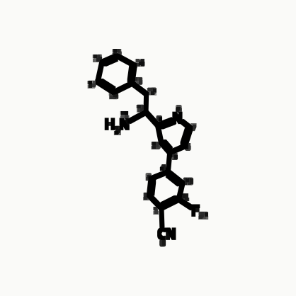 N#Cc1ccc(-c2ccnc(C(N)Cc3ccccc3)c2)cc1F